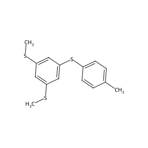 CSc1cc(SC)cc(Sc2ccc(C)cc2)c1